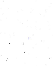 O=CC1=CSC=c2ccccc2=N1.[H+]